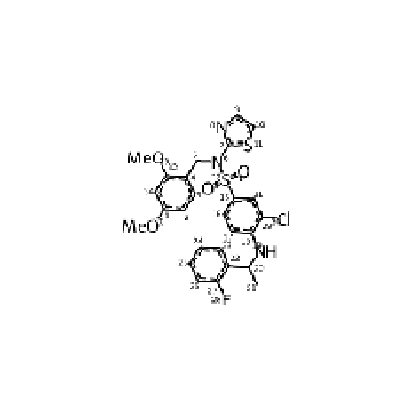 COc1ccc(CN(c2nccs2)S(=O)(=O)c2ccc(NC(C)c3ccccc3F)c(Cl)c2)c(OC)c1